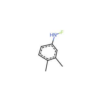 Cc1ccc(NF)cc1C